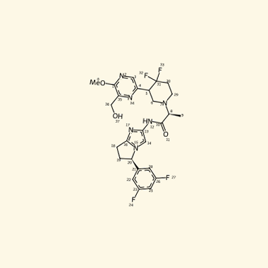 COc1ncc(C2CN([C@@H](C)C(=O)Nc3cn4c(n3)CC[C@@H]4c3cc(F)cc(F)c3)CCC2(F)F)nc1CO